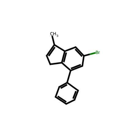 CC1=CCc2c1cc(Br)cc2-c1ccccc1